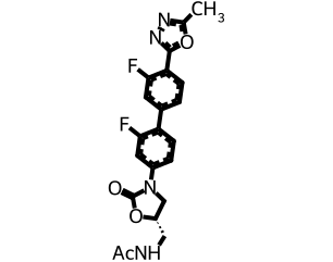 CC(=O)NC[C@H]1CN(c2ccc(-c3ccc(-c4nnc(C)o4)c(F)c3)c(F)c2)C(=O)O1